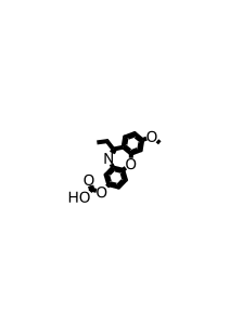 CCC1=Nc2cc(OC(=O)O)ccc2Oc2cc(OC)ccc21